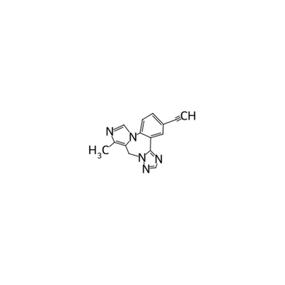 C#Cc1ccc2c(c1)-c1ncnn1Cc1c(C)ncn1-2